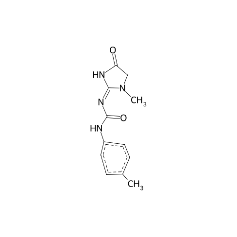 Cc1ccc(NC(=O)N=C2NC(=O)CN2C)cc1